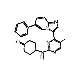 Cc1cnc(NC2CCC(=O)CC2)nc1-c1cnc2ccc(-c3ccccc3)cn12